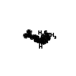 CCOC(C)n1cc(-c2ncn3nc(NC4CCN(S(=O)(=O)c5cccc(OC6CN(C(c7ccccc7)c7ccccc7)C6)c5)CC4)nc3c2OC(C)C)cn1